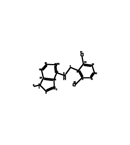 Cn1cnc2c(NCc3c(Cl)cccc3Cl)nccc21